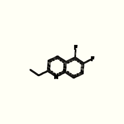 CCc1ccc2c(F)c(F)ccc2n1